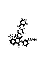 COc1cccc(-n2c(CN3CCN(Cc4ccncc4)CC3)c(C(=O)O)c3ccccc3c2=O)c1